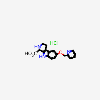 Cl.O=C(O)C1NCCc2c1[nH]c1ccc(OCc3ccccn3)cc21